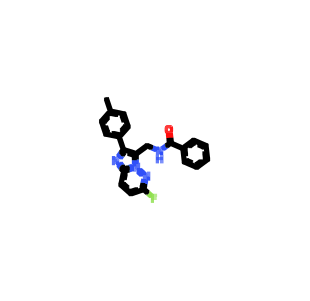 Cc1ccc(-c2nc3ccc(F)nn3c2CNC(=O)c2ccccc2)cc1